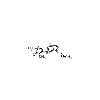 COCCn1ccc2c(Cl)cc(Nc3cnn(C)c(=O)c3C)cc21